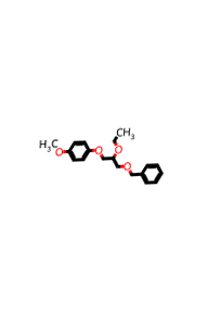 CCOC(COCc1ccccc1)COc1ccc(OC)cc1